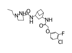 CCCN1CCC(C(=O)NC2CC(NC(=O)COc3ccc(Cl)c(F)c3)C3CC2C3)N1